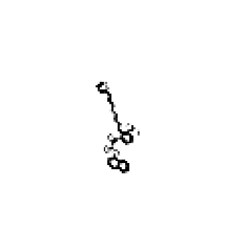 O=C(Oc1cccc2ccccc12)[C@@H]1O[C@H]1c1cccc(C(F)(F)F)c1CCCCCCCCc1cccs1